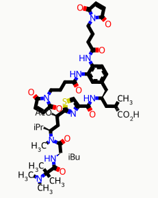 CC[C@H](C)[C@H](NC(=O)C(C)(C)N(C)C)C(=O)N(C)[C@H](C[C@@H](OC(C)=O)c1nc(C(=O)N[C@@H](Cc2ccc(NC(=O)CCCN3C(=O)C=CC3=O)c(NC(=O)CCCN3C(=O)C=CC3=O)c2)CC(C)C(=O)O)cs1)C(C)C